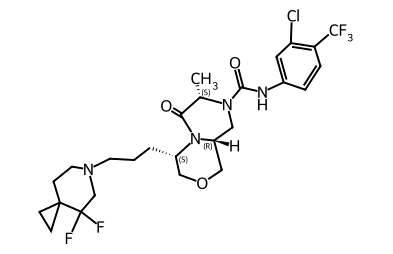 C[C@H]1C(=O)N2[C@@H](CCCN3CCC4(CC4)C(F)(F)C3)COC[C@H]2CN1C(=O)Nc1ccc(C(F)(F)F)c(Cl)c1